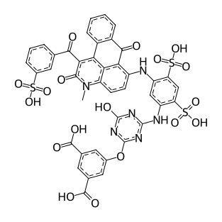 Cn1c(=O)c(C(=O)c2cccc(S(=O)(=O)O)c2)c2c3c(c(Nc4cc(Nc5nc(O)nc(Oc6cc(C(=O)O)cc(C(=O)O)c6)n5)c(S(=O)(=O)O)cc4S(=O)(=O)O)ccc31)C(=O)c1ccccc1-2